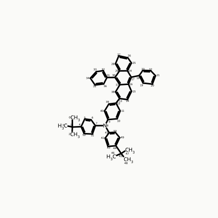 CC(C)(C)c1ccc(N(c2ccc(-c3ccc4c(-c5ccccc5)c5ccccc5c(-c5ccccc5)c4c3)cc2)c2ccc(C(C)(C)C)cc2)cc1